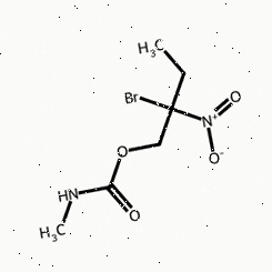 CCC(Br)(COC(=O)NC)[N+](=O)[O-]